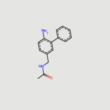 CC(=O)NCc1ccc(N)c(-c2ccccc2)c1